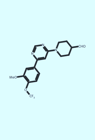 COc1cc(-c2cc(N3CCC(C=O)CC3)ncn2)ccc1OC(F)(F)F